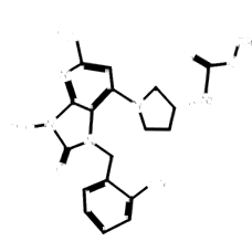 Cc1cc(N2CC[C@@H](NC(=O)OC(C)(C)C)C2)c2c(n1)n(C)c(=O)n2Cc1ccccc1C#N